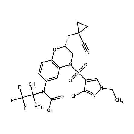 CCn1cc(S(=O)(=O)N2C[C@@H](CC3(C#N)CC3)Oc3ccc(N(C(=O)O)C(C)(C)C(F)(F)F)cc32)c(Cl)n1